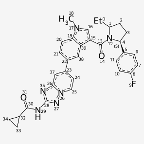 CCC1CC[C@@H](c2ccc(F)cc2)N1C(=O)c1cn(C)c2ccc(-c3ccn4nc(NC(=O)C5CC5)nc4c3)cc12